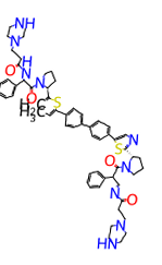 C=C(S/C(=C\C)c1ccc(-c2ccc(-c3cnc([C@@H]4CCCN4C(=O)C(/C=N/C(=O)CCN4CCNCC4)c4ccccc4)s3)cc2)cc1)[C@@H]1CCCN1C(=O)[C@H](NC(=O)CCN1CCNCC1)c1ccccc1